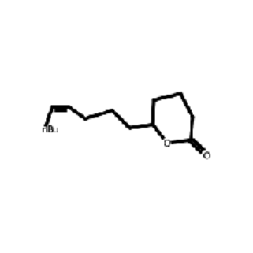 CCCC/C=C\CCCC1CCCC(=O)O1